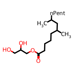 CCCCCC(C)CC(C)CCCCC(=O)OCC(O)CO